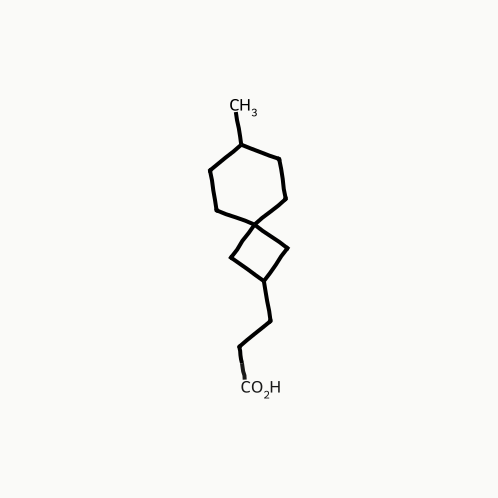 CC1CCC2(CC1)CC(CCC(=O)O)C2